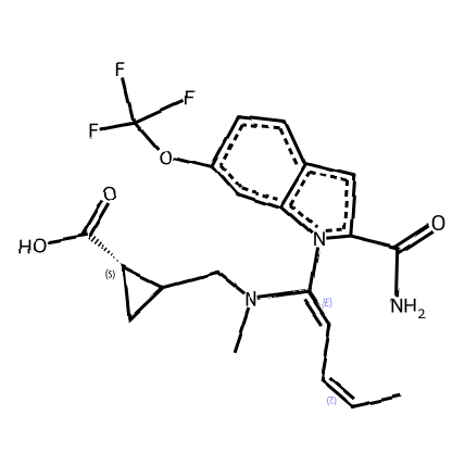 C/C=C\C=C(/N(C)CC1C[C@@H]1C(=O)O)n1c(C(N)=O)cc2ccc(OC(F)(F)F)cc21